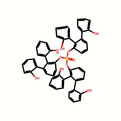 O=P(Oc1cccc(-c2ccccc2O)c1-c1ccccc1O)(Oc1cccc(-c2ccccc2O)c1-c1ccccc1O)Oc1cccc(-c2ccccc2O)c1-c1ccccc1O